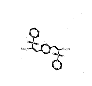 CCOC(=O)C(=Cc1ccc(C=C(C(=O)OCC)S(=O)(=O)c2ccccc2)cc1)S(=O)(=O)c1ccccc1